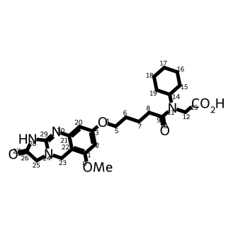 COc1cc(OCCCCC(=O)N(CC(=O)O)C2CCCCC2)cc2c1CN1CC(=O)NC1=N2